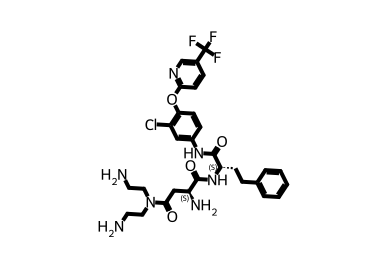 NCCN(CCN)C(=O)C[C@H](N)C(=O)N[C@@H](CCc1ccccc1)C(=O)Nc1ccc(Oc2ccc(C(F)(F)F)cn2)c(Cl)c1